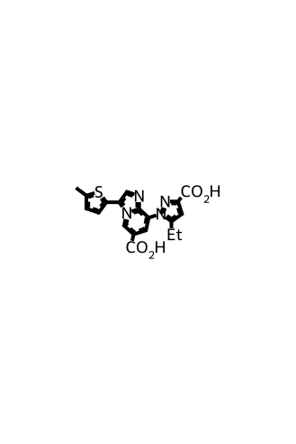 CCc1cc(C(=O)O)nn1-c1cc(C(=O)O)cn2c(-c3ccc(C)s3)cnc12